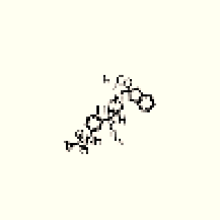 COC1(CN2C[C@@H]3[C@H](C2)[C@@]3(C)c2cccc(NS(=O)(=O)C3CC3)c2)Cc2ccccc2C1